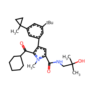 Cn1c(C(=O)NCC(C)(C)O)cc(-c2cc(C(C)(C)C)cc(C3(C)CC3)c2)c1C(=O)C1CCCCC1